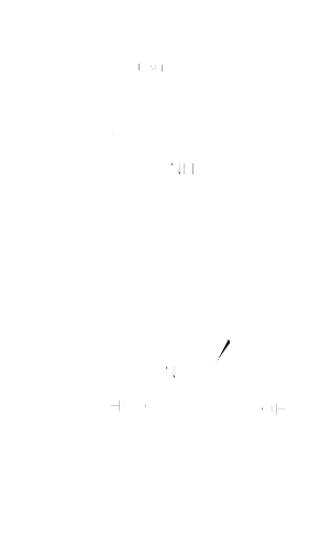 C=C(C)[C@@H](O)[C@H](Cc1ccc(CNC(=O)OC(C)(C)C)cc1)N(Cc1ccccc1)C(=O)O